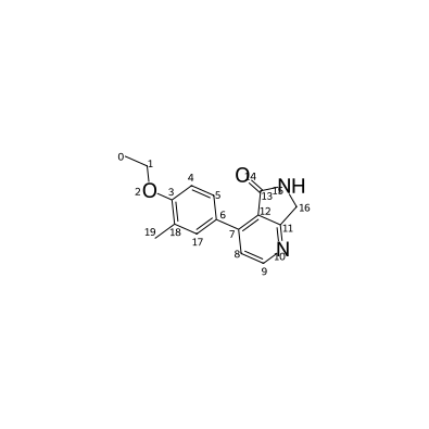 CCOc1ccc(-c2ccnc3c2C(=O)NC3)cc1C